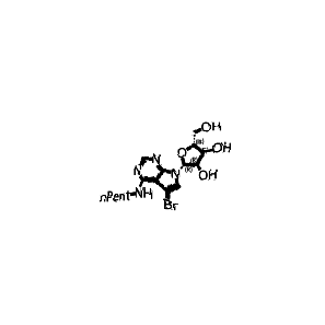 CCCCCNc1ncnc2c1c(Br)cn2[C@@H]1O[C@H](CO)[C@@H](O)[C@H]1O